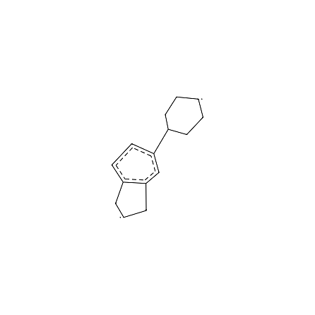 [CH]1CCC(c2ccc3c(c2)C[CH]C3)CC1